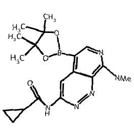 CNc1ncc(B2OC(C)(C)C(C)(C)O2)c2cc(NC(=O)C3CC3)nnc12